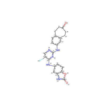 O=C1CCc2ccc(Nc3ncc(F)c(Nc4ccc5oc(=O)[nH]c5c4)n3)cc2CC1